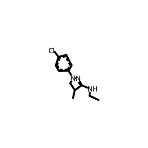 CCNC1=NN(c2ccc(Cl)cc2)CC1C